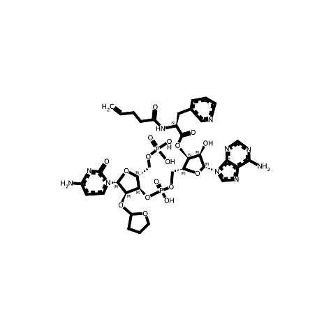 C=CCCC(=O)N[C@@H](Cc1cccnc1)C(=O)O[C@H]1[C@@H](O)[C@H](n2cnc3c(N)ncnc32)O[C@@H]1COP(=O)(O)O[C@H]1[C@@H](OC2CCCO2)[C@H](n2ccc(N)nc2=O)O[C@@H]1COP(=O)(O)O